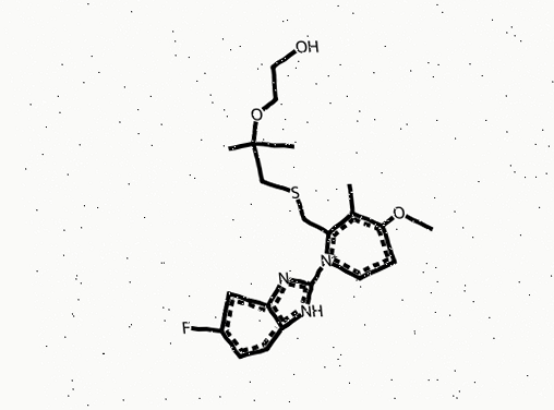 COc1cc[n+](-c2nc3cc(F)ccc3[nH]2)c(CSCC(C)(C)OCCO)c1C